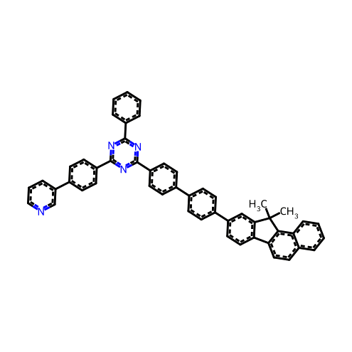 CC1(C)c2cc(-c3ccc(-c4ccc(-c5nc(-c6ccccc6)nc(-c6ccc(-c7cccnc7)cc6)n5)cc4)cc3)ccc2-c2ccc3ccccc3c21